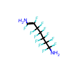 NC(F)=C(F)C(F)(F)C(F)(F)C(F)(F)C(F)(F)C(N)(F)F